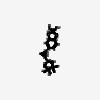 CC1(C)OB([C@H]2C[C@@H]2c2ccc3c(c2)OC(F)(F)O3)OC1(C)C